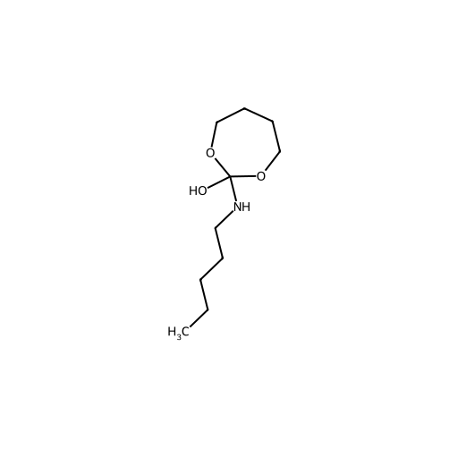 CCCCCNC1(O)OCCCCO1